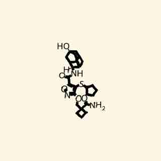 NC(=O)C1(COc2noc(C(=O)N[C@H]3C4CC5CC3C[C@](O)(C5)C4)c2SC2CCCC2)CCC1